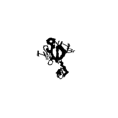 O=C1NC(=O)C(c2cn(CCCN3CCOCC3)c3cc(Br)ccc23)=C1c1c[nH]c2ccccc12